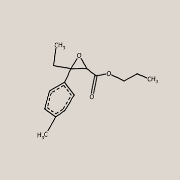 CCCOC(=O)C1OC1(CC)c1ccc(C)cc1